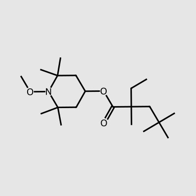 CCC(C)(CC(C)(C)C)C(=O)OC1CC(C)(C)N(OC)C(C)(C)C1